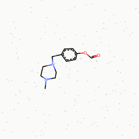 CN1CCN(Cc2ccc(OC=O)cc2)CC1